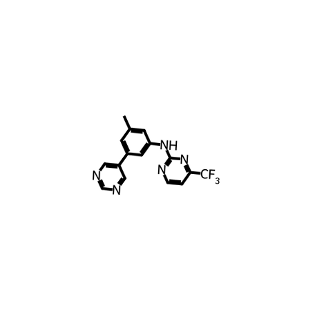 Cc1cc(Nc2nccc(C(F)(F)F)n2)cc(-c2cncnc2)c1